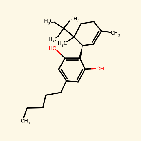 CCCCCc1cc(O)c([C@@H]2C=C(C)CCC2(C)C(C)(C)C)c(O)c1